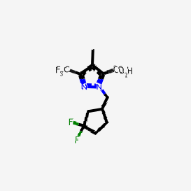 Cc1c(C(F)(F)F)nn(CC2CCC(F)(F)C2)c1C(=O)O